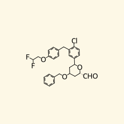 O=C[C@@H]1CC(OCc2ccccc2)CC(c2ccc(Cl)c(Cc3ccc(OCC(F)F)cc3)c2)O1